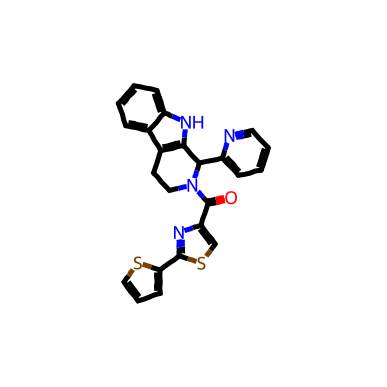 O=C(c1csc(-c2cccs2)n1)N1CCc2c([nH]c3ccccc23)C1c1ccccn1